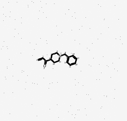 C=CC(=O)C1CCN(Cc2ccccc2)CC1